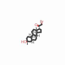 C[C@@]1(O)CC[C@H]2[C@H](CC[C@@H]3[C@@H]2CC[C@]2(C)[C@@H](C(=O)CBr)CC[C@@H]32)C1